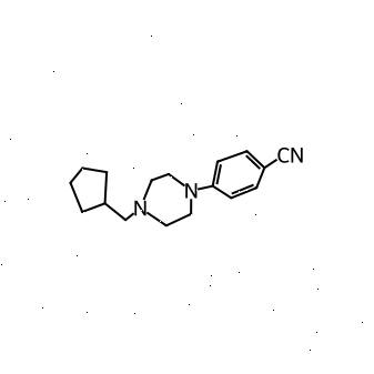 N#Cc1ccc(N2CCN(CC3CCCC3)CC2)cc1